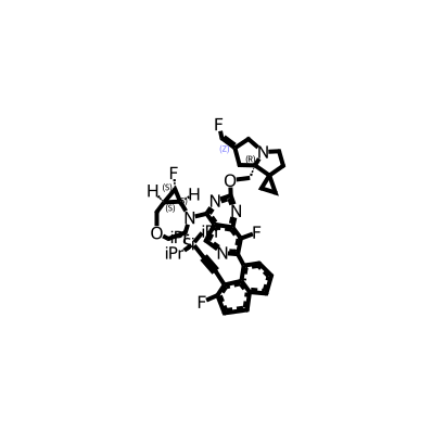 CC(C)[Si](C#Cc1c(F)ccc2cccc(-c3ncc4c(N5CCOC[C@H]6[C@H](F)[C@H]65)nc(OC[C@]56C/C(=C/F)CN5CCC65CC5)nc4c3F)c12)(C(C)C)C(C)C